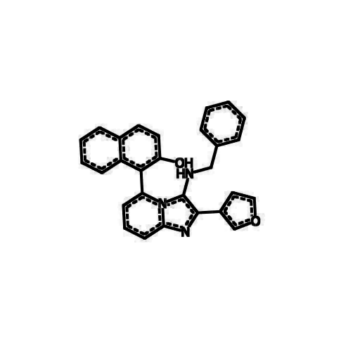 Oc1ccc2ccccc2c1-c1cccc2nc(-c3ccoc3)c(NCc3ccccc3)n12